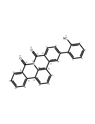 N#Cc1ccccc1-c1ccc2c(=O)n3c(=O)c4ccccc4c4cccc(c2c1)c43